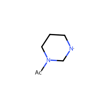 CC(=O)N1CCC[N]C1